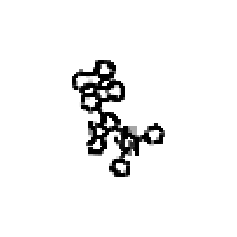 c1ccc(-c2nc(-c3ccccc3)nc(-c3ccc(-c4cccc5c4-c4ccccc4C54c5ccccc5-c5ccccc54)c4sc5ccccc5c34)n2)cc1